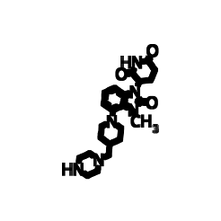 Cn1c(=O)n(C2CCC(=O)NC2=O)c2cccc(N3CCC(CN4CCNCC4)CC3)c21